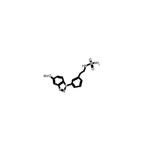 COc1ccc2c(c1)nnn2-c1cccc(CCNS(N)(=O)=O)c1